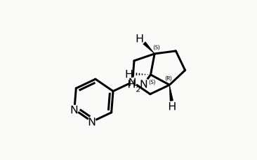 N[C@@H]1[C@@H]2CC[C@H]1CN(c1ccnnc1)C2